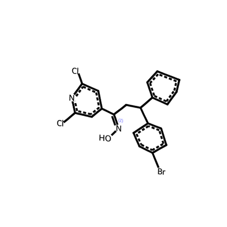 O/N=C(/CC(c1ccccc1)c1ccc(Br)cc1)c1cc(Cl)nc(Cl)c1